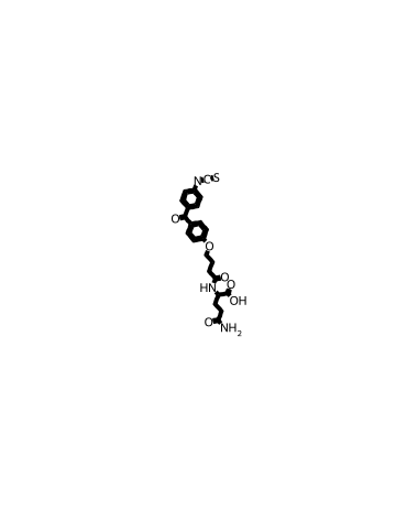 NC(=O)CCC(NC(=O)CCCOc1ccc(C(=O)c2ccc(N=C=S)cc2)cc1)C(=O)O